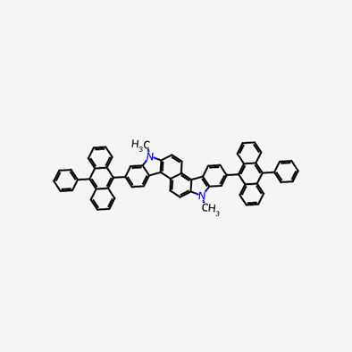 Cn1c2cc(-c3c4ccccc4c(-c4ccccc4)c4ccccc34)ccc2c2c3ccc4c(c3ccc21)c1ccc(-c2c3ccccc3c(-c3ccccc3)c3ccccc23)cc1n4C